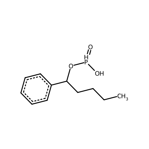 CCCCC(O[PH](=O)O)c1ccccc1